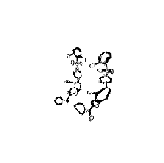 O=C(c1cc2c(Br)c(N3CCN(S(=O)(=O)c4c(Cl)cccc4Cl)CC3)ccc2o1)N1CCCCC1.O=C(c1cc2c(Br)c(N3CCN(S(=O)(=O)c4ccccc4Cl)CC3)ccc2o1)N1CCCCC1